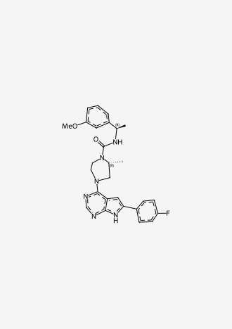 COc1cccc([C@@H](C)NC(=O)N2CCN(c3ncnc4[nH]c(-c5ccc(F)cc5)cc34)C[C@H]2C)c1